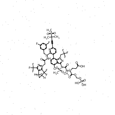 CN(C(=O)N(c1nn(CC(F)(F)F)c2c(-c3ccc(C#CC(C)(C)S(C)(=O)=O)nc3[C@H](Cc3cc(F)cc(F)c3)NC(=O)Cn3nc(C(F)(F)F)c4c3C(F)(F)[C@@H]3C[C@H]43)ccc(Cl)c12)S(C)(=O)=O)[C@@H](CCC(=O)O)C(=O)OCOP(=O)(O)O